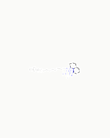 CCCCCCCCCCCCCCCCCCNc1cccc2cccc(N)c12